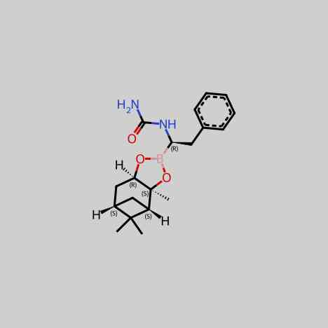 CC1(C)[C@@H]2C[C@H]3OB([C@H](Cc4ccccc4)NC(N)=O)O[C@@]3(C)[C@H]1C2